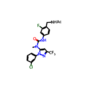 CC(=O)NCc1ccc(NC(=O)N(C)c2cc(C(F)(F)F)nn2-c2cccc(Cl)c2)cc1F